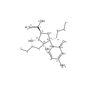 CCCC[C@@]1(O)[C@H](O)[C@@H]([C](O)=[SnH2])O[C@@]1(CCCC)n1ccc(N)nc1=O